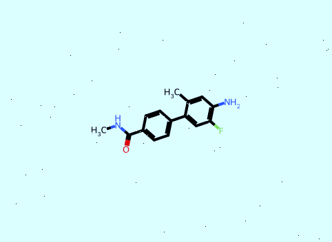 CNC(=O)c1ccc(-c2cc(F)c(N)cc2C)cc1